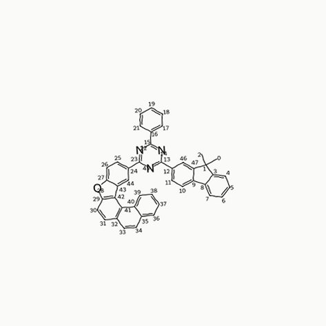 CC1(C)c2ccccc2-c2ccc(-c3nc(-c4ccccc4)nc(-c4ccc5oc6ccc7ccc8ccccc8c7c6c5c4)n3)cc21